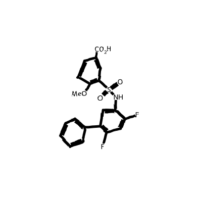 COc1ccc(C(=O)O)cc1S(=O)(=O)Nc1cc(-c2ccccc2)c(F)cc1F